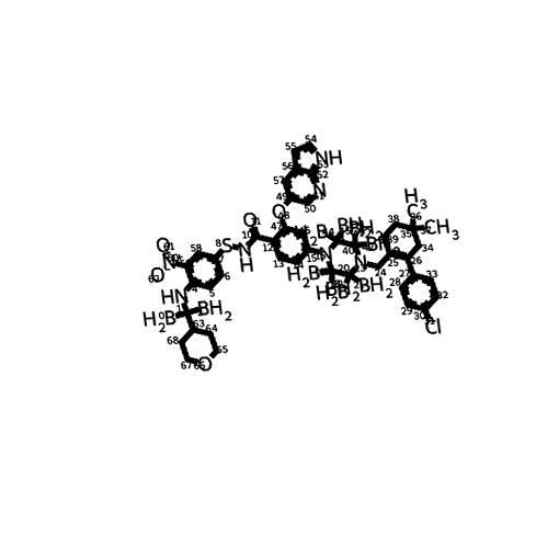 BC(B)(Nc1ccc(SNC(=O)c2ccc(N3C(B)(B)C(B)(B)N(CC4=C(c5ccc(Cl)cc5)CC(C)(C)CC4)C(B)(B)C3(B)B)cc2Oc2cnc3[nH]ccc3c2)cc1[N+](=O)[O-])C1CCOCC1